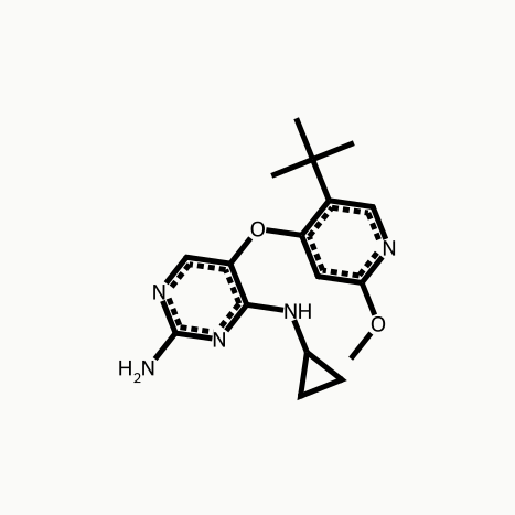 COc1cc(Oc2cnc(N)nc2NC2CC2)c(C(C)(C)C)cn1